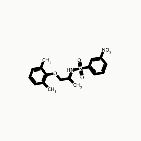 Cc1cccc(C)c1OCC(C)NS(=O)(=O)c1cccc([N+](=O)[O-])c1